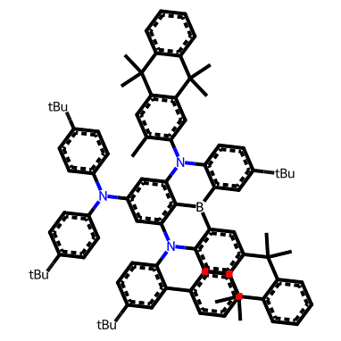 Cc1cc2c(cc1N1c3ccc(C(C)(C)C)cc3B3c4cc5c(cc4N(c4ccc(C(C)(C)C)cc4-c4ccccc4)c4cc(N(c6ccc(C(C)(C)C)cc6)c6ccc(C(C)(C)C)cc6)cc1c43)C(C)(C)c1ccccc1C5(C)C)C(C)(C)c1ccccc1C2(C)C